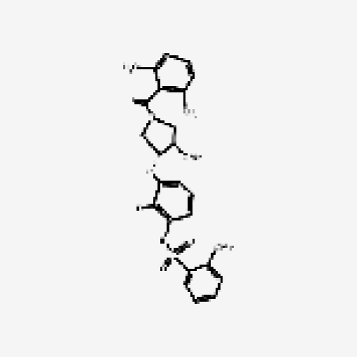 COc1ccccc1S(=O)(=O)Nc1cccc(O[C@@H]2CN(C(=O)c3c(C)cccc3C)C[C@H]2OC)c1F